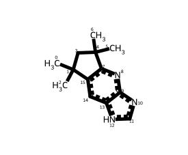 CC1(C)CC(C)(C)c2nc3nc[nH]c3cc21